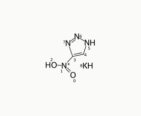 O=[N+](O)c1c[nH]nn1.[KH]